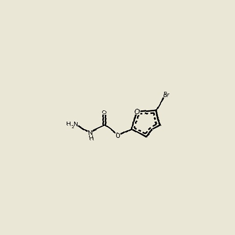 NNC(=O)Oc1ccc(Br)o1